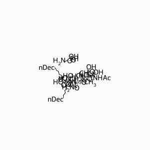 CCCCCCCCCCCCCCCC(=O)OC([C@H](CO)OC(=O)CCCCCCCCCCCCCCC)[C@@](C)(N)C(=O)N[C@H](CCC(=O)N(CC(C)O[C@H]1[C@H](O)[C@@H](CO)O[C@H](O)[C@@H]1NC(C)=O)[C@@H](C)C(=O)O)C(N)=O.NCCO[PH](=O)O